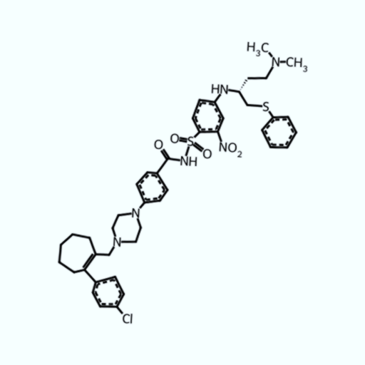 CN(C)CC[C@H](CSc1ccccc1)Nc1ccc(S(=O)(=O)NC(=O)c2ccc(N3CCN(CC4=C(c5ccc(Cl)cc5)CCCCC4)CC3)cc2)c([N+](=O)[O-])c1